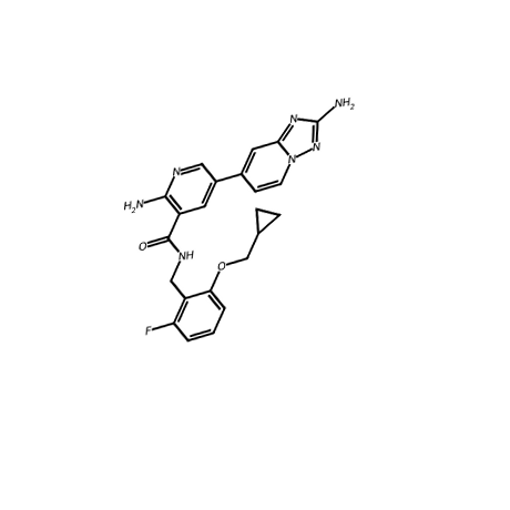 Nc1nc2cc(-c3cnc(N)c(C(=O)NCc4c(F)cccc4OCC4CC4)c3)ccn2n1